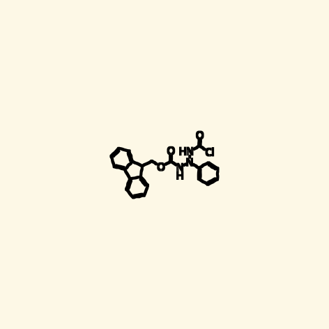 O=C(Cl)NN(NC(=O)OCC1c2ccccc2-c2ccccc21)c1ccccc1